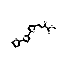 COC(=O)C(=O)/C=C/c1ccc(-c2ccc(-c3cccs3)s2)s1